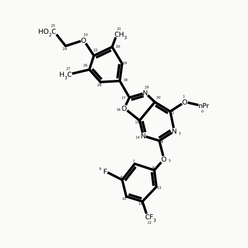 CCCOc1nc(Oc2cc(F)cc(C(F)(F)F)c2)nc2oc(-c3cc(C)c(OCC(=O)O)c(C)c3)nc12